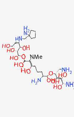 CN/C(=C(/O)CCCC(N)[C@H](O)O[C@H](CN)/C(O)=C(\O)[C@H](N)O)C(O)O[C@@H](O)[C@H](O)C(O)[C@@H](CCO)NCC1(N)CCCC1